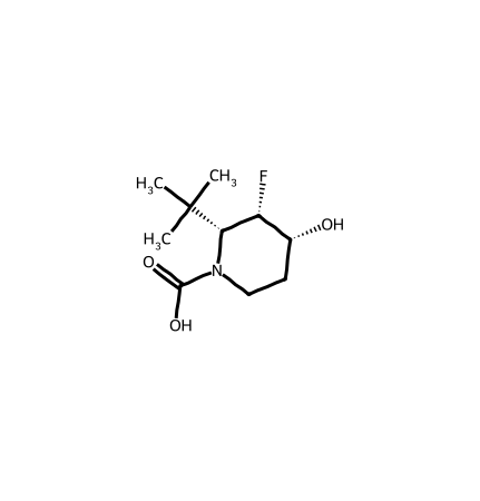 CC(C)(C)[C@@H]1[C@H](F)[C@H](O)CCN1C(=O)O